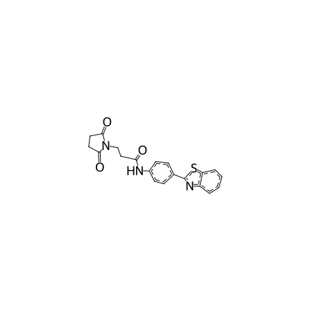 O=C(CCN1C(=O)CCC1=O)Nc1ccc(-c2nc3ccccc3s2)cc1